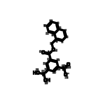 O=C(OCc1cccc2ccccc12)c1cc(B(O)O)cc([N+](=O)[O-])c1